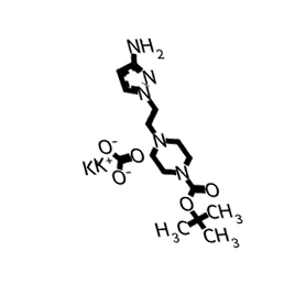 CC(C)(C)OC(=O)N1CCN(CCn2ccc(N)n2)CC1.O=C([O-])[O-].[K+].[K+]